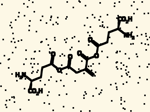 C=C(CC(=O)OC(=O)CC[C@H](N)C(=O)O)C(=O)OC(=O)CC[C@H](N)C(=O)O